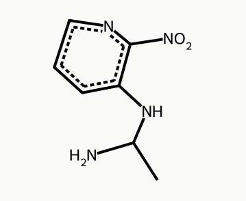 CC(N)Nc1cccnc1[N+](=O)[O-]